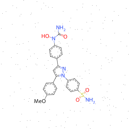 COc1ccc(-c2cc(-c3ccc(N(O)C(N)=O)cc3)nn2-c2ccc(S(N)(=O)=O)cc2)cc1